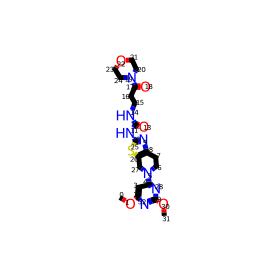 COc1cc(N2CCc3nc(NC(=O)NCCC(=O)N4CCOCC4)sc3C2)nc(OC)n1